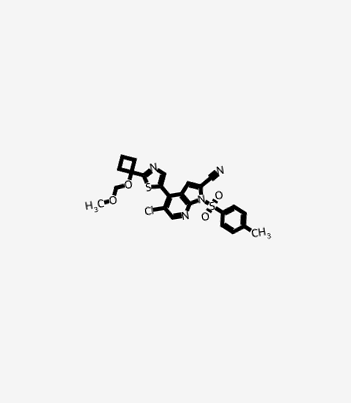 COCOC1(c2ncc(-c3c(Cl)cnc4c3cc(C#N)n4S(=O)(=O)c3ccc(C)cc3)s2)CCC1